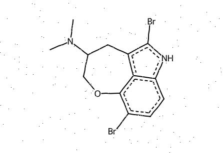 CN(C)C1COc2c(Br)ccc3[nH]c(Br)c(c23)C1